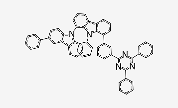 C1=CCCC(n2c3c(-c4cccc(-c5nc(-c6ccccc6)nc(-c6ccccc6)n5)c4)cccc3c3cccc(-n4c5ccccc5c5cc(-c6ccccc6)ccc54)c32)=C1